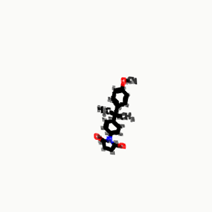 CC(C)(c1ccc(OC#N)cc1)c1ccc(N2C(=O)C=CC2=O)cc1